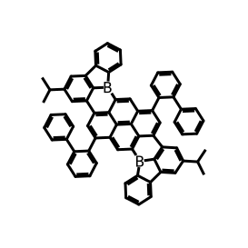 CC(C)c1cc2c3c(c1)-c1cc(-c4ccccc4-c4ccccc4)c4cc5c6c(cc(-c7ccccc7-c7ccccc7)c7cc(c1c4c76)B3c1ccccc1-2)-c1cc(C(C)C)cc2c1B5c1ccccc1-2